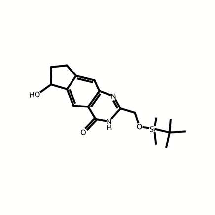 CC(C)(C)[Si](C)(C)OCc1nc2cc3c(cc2c(=O)[nH]1)C(O)CC3